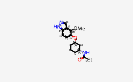 CCC(=O)N[C@@H]1CCC[C@H](Oc2ccc3[nH]ncc3c2OC)C1